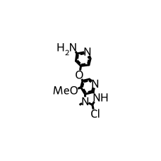 COc1c(Oc2ccnc(N)c2)cnc2c1N(C)C(Cl)N2